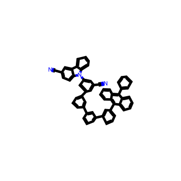 N#Cc1cc(-c2cccc(-c3cccc(-c4cccc(-c5c6ccccc6c(-c6ccccc6)c6ccccc56)c4)c3)c2)cc(-n2c3ccccc3c3cc(C#N)ccc32)c1